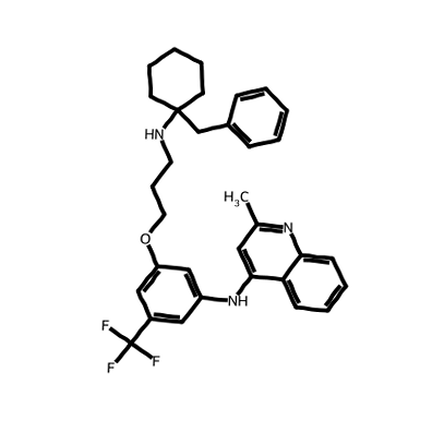 Cc1cc(Nc2cc(OCCCNC3(Cc4ccccc4)CCCCC3)cc(C(F)(F)F)c2)c2ccccc2n1